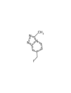 Cc1nnc2cc(CI)ccn12